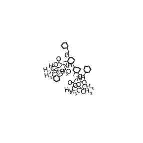 COC(=O)[C@H](Cc1cc(-c2ccc(OCc3ccccc3)c(C[C@@](CC[Si](C)(C)C)(NC(=O)OCc3ccccc3)C(=O)O)c2)ccc1OCc1ccccc1)NC(=O)OC(C)(C)C